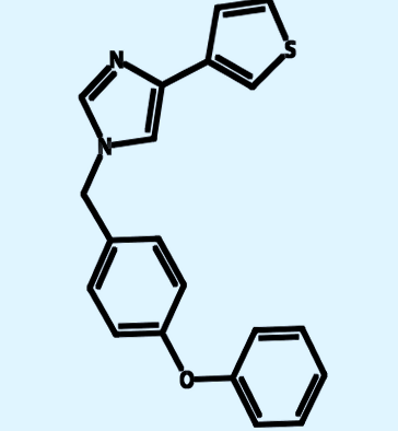 c1ccc(Oc2ccc(Cn3cnc(-c4ccsc4)c3)cc2)cc1